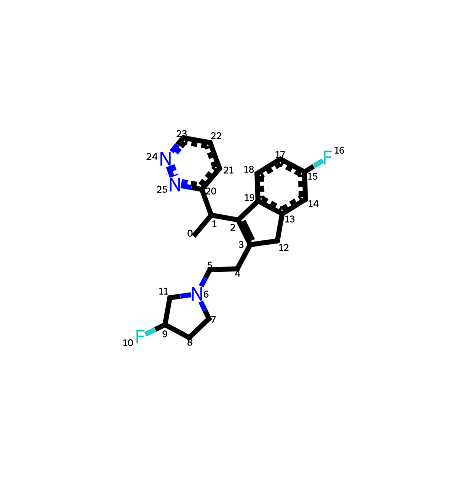 CC(C1=C(CCN2CCC(F)C2)Cc2cc(F)ccc21)c1cccnn1